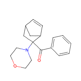 O=C(c1ccccc1)C1(N2CCOCC2)CC2C=CC1C2